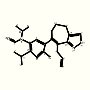 C=CCC1=C(c2cc(N(C=O)C(C)C)c(C(C)C)cc2C)CCCc2c[nH]nc21